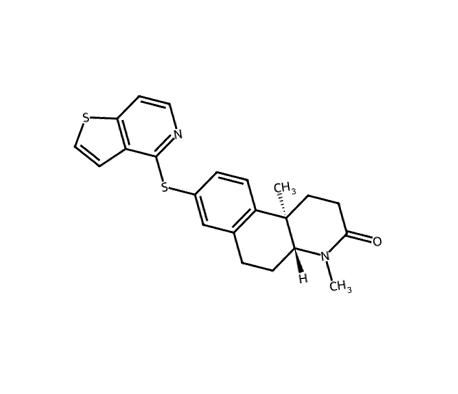 CN1C(=O)CC[C@]2(C)c3ccc(Sc4nccc5sccc45)cc3CC[C@@H]12